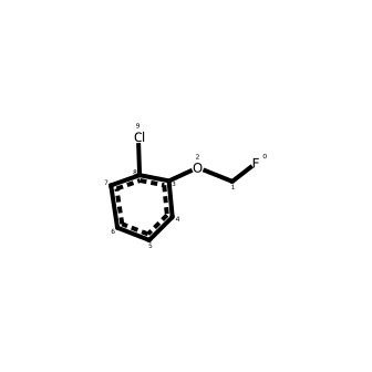 FCOc1ccc[c]c1Cl